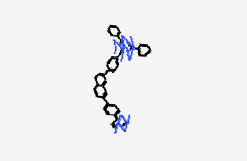 c1ccc(-c2nc(-c3ccccc3)nc(-c3ccc(-c4ccc5ccc(-c6ccc(-c7ccncn7)cc6)cc5c4)cc3)n2)cc1